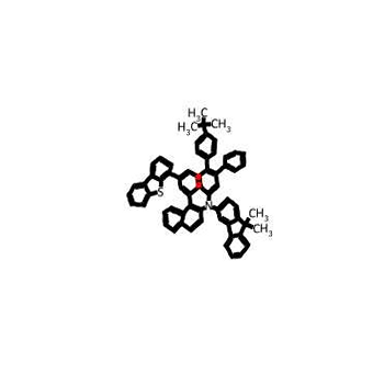 CC(C)(C)c1ccc(-c2ccc(N(c3ccc4c(c3)-c3ccccc3C4(C)C)c3ccc4ccccc4c3-c3cccc(-c4cccc5c4sc4ccccc45)c3)cc2-c2ccccc2)cc1